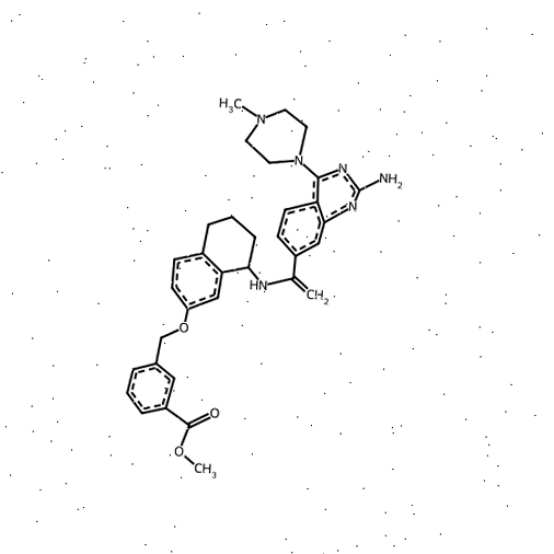 C=C(NC1CCCc2ccc(OCc3cccc(C(=O)OC)c3)cc21)c1ccc2c(N3CCN(C)CC3)nc(N)nc2c1